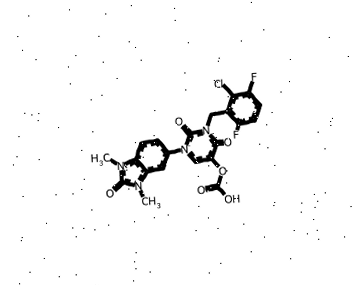 Cn1c(=O)n(C)c2cc(-n3cc(OC(=O)O)c(=O)n(Cc4c(F)ccc(F)c4Cl)c3=O)ccc21